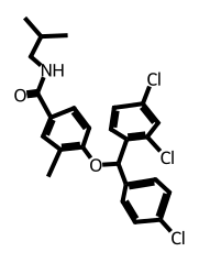 Cc1cc(C(=O)NCC(C)C)ccc1OC(c1ccc(Cl)cc1)c1ccc(Cl)cc1Cl